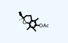 C#C[C@@]1(C)CCc2c(C)c(OC(C)=O)c(C)c(C)c2O1